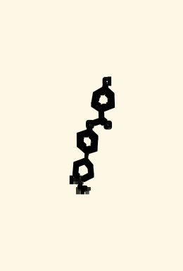 CCC[Si@H]1CC[C@H](c2ccc(OC(=O)c3ccc(Cl)cc3)cc2)CC1